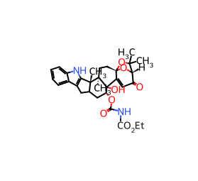 CCOC(=O)NC(=O)O[C@H]1CC2Cc3c([nH]c4ccccc34)[C@]2(C)[C@@]2(C)CC[C@@]34O[C@@H](C(=O)C=C3[C@]12O)C(C)(C)O4